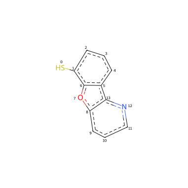 Sc1cccc2c1oc1cccnc12